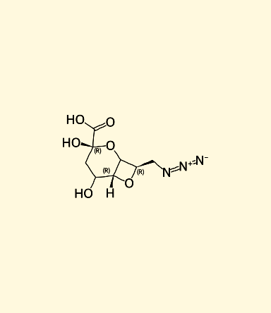 [N-]=[N+]=NC[C@H]1O[C@@H]2C(O)C[C@](O)(C(=O)O)OC21